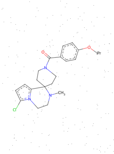 CC(C)Oc1ccc(C(=O)N2CCC3(CC2)c2ccc(Cl)n2CCN3C)cc1